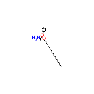 CCCCCCCCCCCCCCCCCCOC(OCc1ccccc1)C(C)N